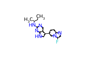 CC[C@H](C)Nc1ncc2c(-c3ccc4ncc(F)n4c3)c[nH]c2n1